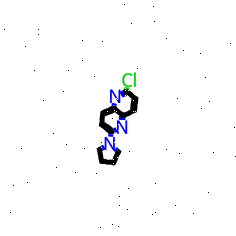 Clc1ccc2nc(N3CCCC3)ccc2n1